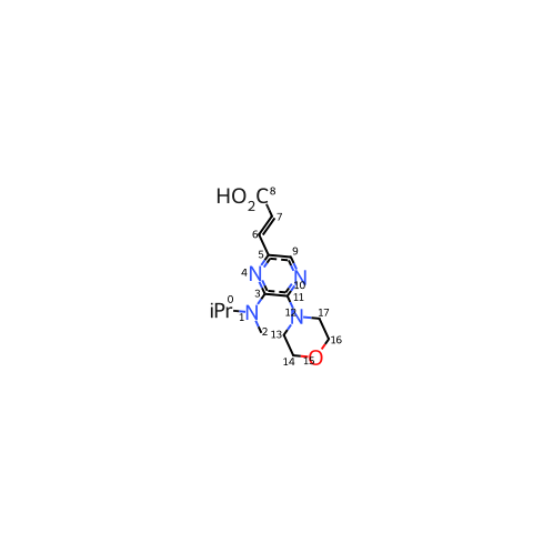 CC(C)N(C)c1nc(/C=C/C(=O)O)cnc1N1CCOCC1